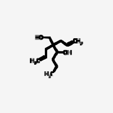 C=CCC(CO)(CC=C)C(O)CCC